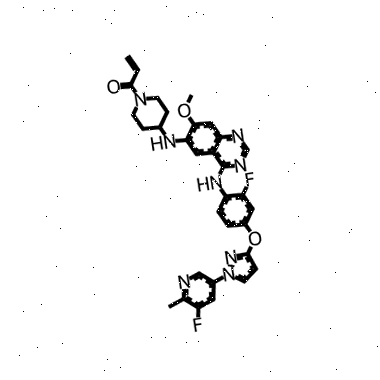 C=CC(=O)N1CCC(Nc2cc3c(Nc4ccc(Oc5ccn(-c6cnc(C)c(F)c6)n5)cc4F)ncnc3cc2OC)CC1